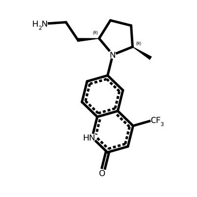 C[C@@H]1CC[C@H](CCN)N1c1ccc2[nH]c(=O)cc(C(F)(F)F)c2c1